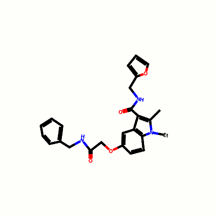 CCn1c(C)c(C(=O)NCc2ccco2)c2cc(OCC(=O)NCc3ccccc3)ccc21